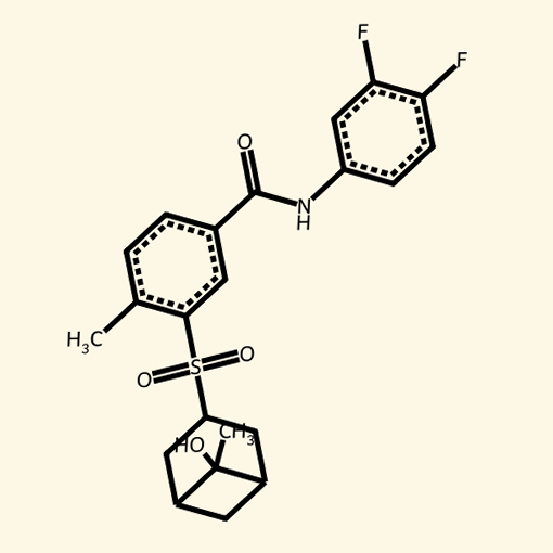 Cc1ccc(C(=O)Nc2ccc(F)c(F)c2)cc1S(=O)(=O)C1CC2CC(C1)C2(C)O